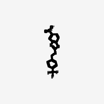 O=[N+]([O-])c1ccc2oc(SCc3ccc(C(F)(F)F)cc3)nc2c1